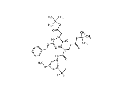 COc1cc(NC(=O)[C@H](CCC(=O)OC(C)(C)C)NC(=O)[C@H](CC(=O)OC(C)(C)C)NC(=O)OCc2ccccc2)cc(C(F)(F)F)c1